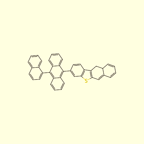 C1=CC2=Cc3sc4cc(-c5c6ccccc6c(-c6cccc7ccccc67)c6ccccc56)ccc4c3CC2C=C1